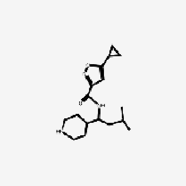 CC(C)CC(NC(=O)c1cc(C2CC2)on1)C1CCNCC1